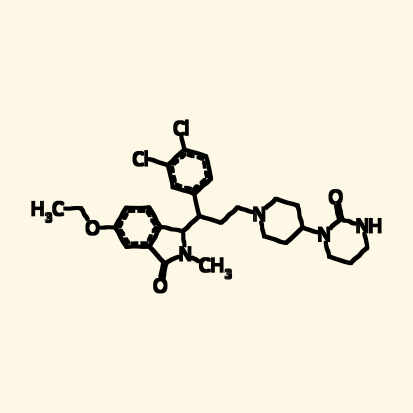 CCOc1ccc2c(c1)C(=O)N(C)C2C(CCN1CCC(N2CCCNC2=O)CC1)c1ccc(Cl)c(Cl)c1